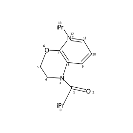 CC(C)C(=O)N1CCOc2c1ccc[n+]2C(C)C